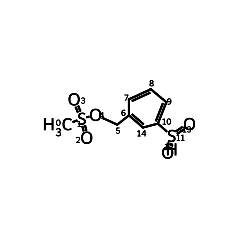 CS(=O)(=O)OCc1cccc([SH](=O)=O)c1